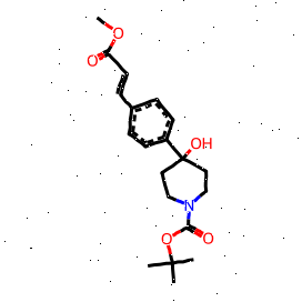 COC(=O)/C=C/c1ccc(C2(O)CCN(C(=O)OC(C)(C)C)CC2)cc1